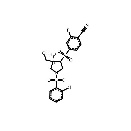 N#Cc1ccc(S(=O)(=O)C2CN(S(=O)(=O)c3ccccc3Cl)C[C@@]2(O)CO)cc1F